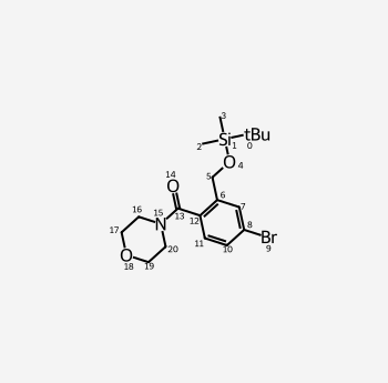 CC(C)(C)[Si](C)(C)OCc1cc(Br)ccc1C(=O)N1CCOCC1